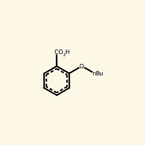 CCCCOc1cc[c]cc1C(=O)O